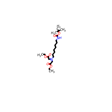 CCOC(=O)CN(CCCCCCCCNC(=O)OC(C)(C)C)CC(=O)OCC